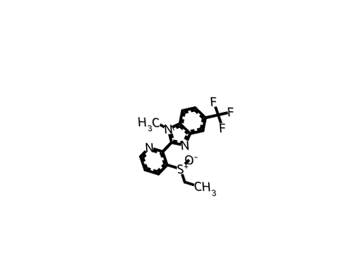 CC[S+]([O-])c1cccnc1-c1nc2cc(C(F)(F)F)ccc2n1C